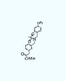 CCCc1ccc(CN(Cc2cccc(CC(=O)OC)c2)S(C)(=O)=O)cc1